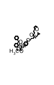 COC(=O)[C@H](Cc1ccc(OCCCN(CC2CC2)C(=O)C=Cc2ccco2)cc1)Nc1ccccc1C(=O)c1ccccc1